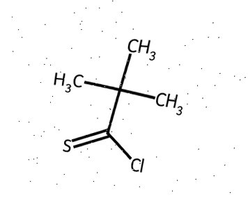 CC(C)(C)C(=S)Cl